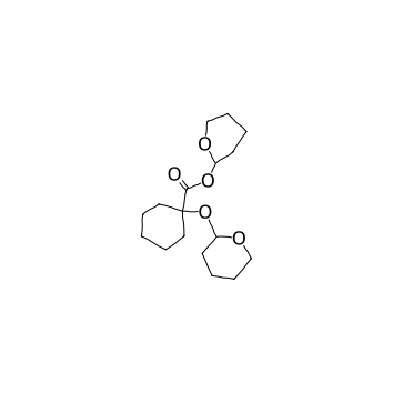 O=C(OC1CCCCO1)C1(OC2CCCCO2)CCCCC1